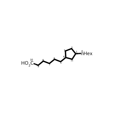 CCCCCCC1CCC(CCCCCC(=O)O)C1